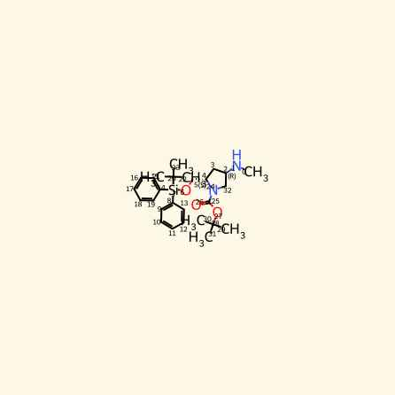 CN[C@@H]1C[C@@H](CO[Si](c2ccccc2)(c2ccccc2)C(C)(C)C)N(C(=O)OC(C)(C)C)C1